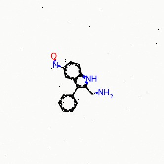 NCc1[nH]c2ccc(N=O)cc2c1-c1ccccc1